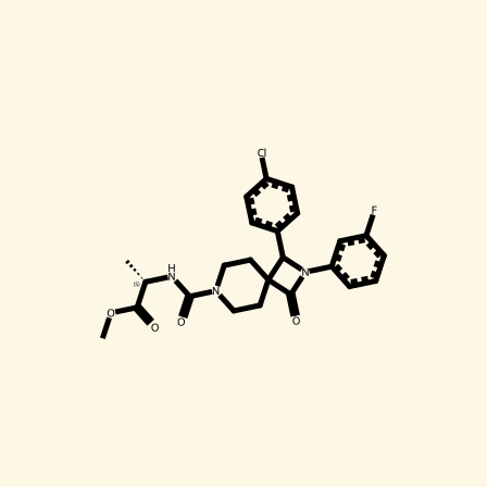 COC(=O)[C@H](C)NC(=O)N1CCC2(CC1)C(=O)N(c1cccc(F)c1)C2c1ccc(Cl)cc1